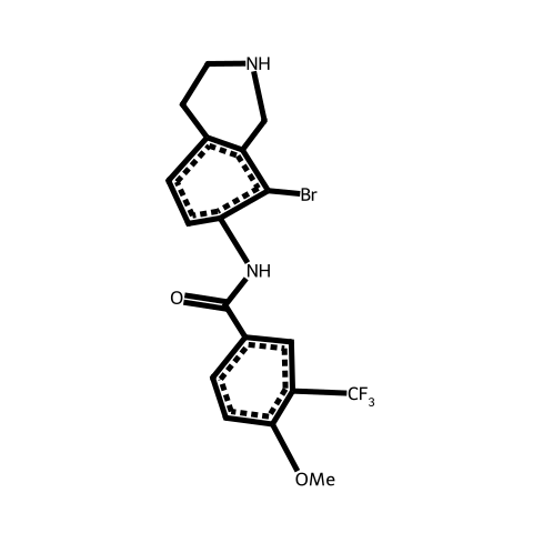 COc1ccc(C(=O)Nc2ccc3c(c2Br)CNCC3)cc1C(F)(F)F